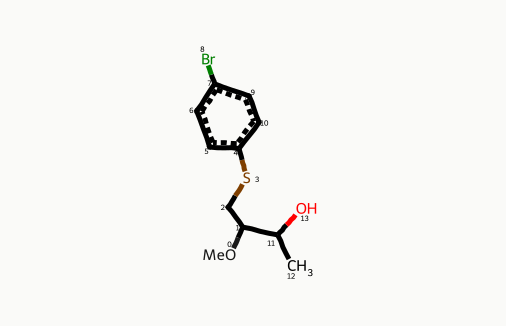 COC(CSc1ccc(Br)cc1)C(C)O